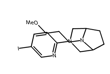 COCCCN1C2CCC1CN(c1ccc(I)cn1)C2